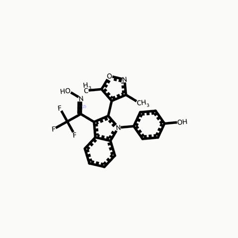 Cc1noc(C)c1-c1c(/C(=N/O)C(F)(F)F)c2ccccc2n1-c1ccc(O)cc1